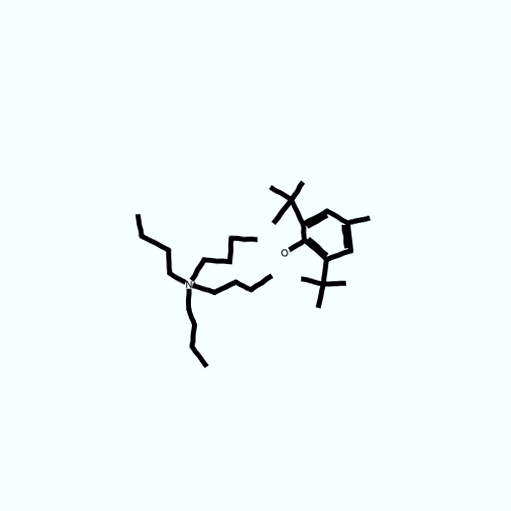 CCCC[N+](CCCC)(CCCC)CCCC.Cc1cc(C(C)(C)C)c([O-])c(C(C)(C)C)c1